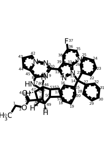 CCOC(=O)[C@@H]1[C@@H](Nc2nc(-c3nn(C(c4ccccc4)(c4ccccc4)c4ccccc4)c4ncc(F)cc34)nn3cccc23)[C@@H]2CC[C@H]1C1CCC12